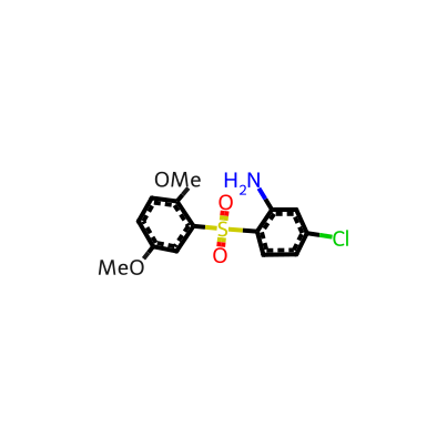 COc1ccc(OC)c(S(=O)(=O)c2ccc(Cl)cc2N)c1